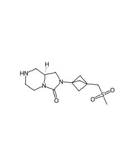 CS(=O)(=O)CC12CC(N3C[C@@H]4CNCCN4C3=O)(C1)C2